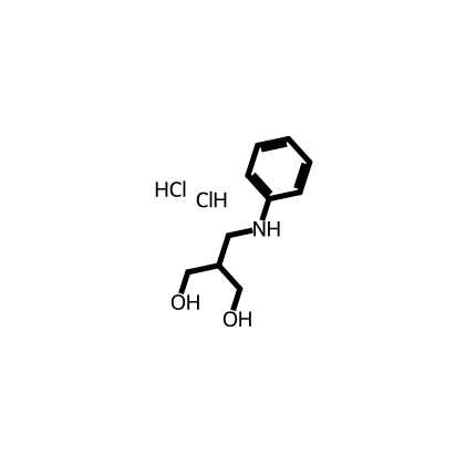 Cl.Cl.OCC(CO)CNc1ccccc1